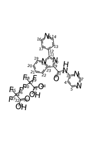 O=C(Nc1ccncn1)c1nc(-c2ccncc2)n2ccccc12.O=C(O)C(F)(F)F.O=C(O)C(F)(F)F